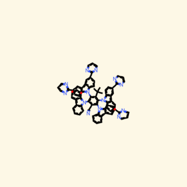 CC(C)(C)c1c(-n2c3ccc(-c4ncccn4)cc3c3cc(-c4ncccn4)ccc32)c(-n2c3ccccc3c3ccccc32)c(C#N)c(-n2c3ccccc3c3ccccc32)c1-n1c2ccc(-c3ncccn3)cc2c2cc(-c3ncccn3)ccc21